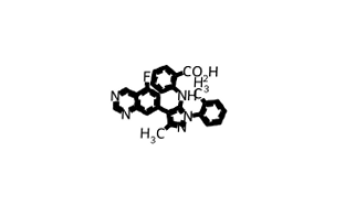 Cc1ccccc1-n1nc(C)c(-c2cc(F)c3cncnc3c2)c1Nc1ccccc1C(=O)O